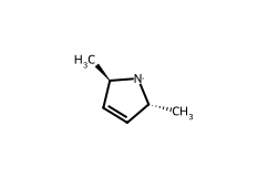 C[C@@H]1C=C[C@@H](C)[N]1